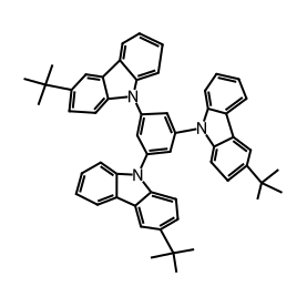 CC(C)(C)c1ccc2c(c1)c1ccccc1n2-c1cc(-n2c3ccccc3c3cc(C(C)(C)C)ccc32)cc(-n2c3ccccc3c3cc(C(C)(C)C)ccc32)c1